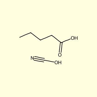 CCCCC(=O)O.N#CO